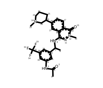 CC(=O)Nc1cc(C(C)Nc2nn(C)c(=O)c3ccc(C4CCCN(C)C4)cc23)cc(C(F)(F)F)c1